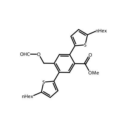 CCCCCCc1ccc(-c2cc(C(=O)OC)c(-c3ccc(CCCCCC)s3)cc2COC=O)s1